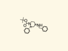 CC(C)(C)OC(=O)N1CC[C@H](NCc2ccccc2)C[C@@H]1c1ccccc1